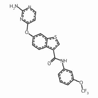 Nc1nccc(Oc2ccc3c(C(=O)Nc4cccc(OC(F)(F)F)c4)csc3c2)n1